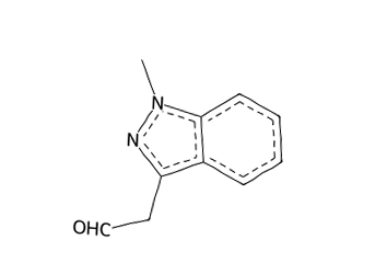 Cn1nc(CC=O)c2ccccc21